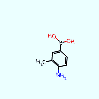 Cc1cc(B(O)O)ccc1N